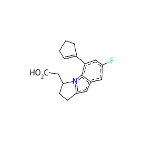 O=C(O)CC1CCc2cc3cc(F)cc(C4=CCCC4)c3n21